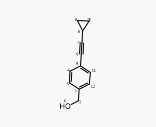 OCc1ccc(C#CC2CC2)cc1